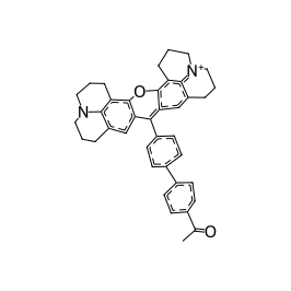 CC(=O)c1ccc(-c2ccc(C3=c4cc5c6c(c4Oc4c3cc3c7c4CCCN7CCC3)CCC[N+]=6CCC5)cc2)cc1